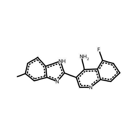 Cc1ccc2[nH]c(-c3cnc4cccc(F)c4c3N)nc2c1